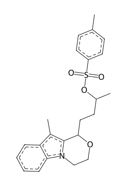 Cc1ccc(S(=O)(=O)OC(C)CCC2OCCn3c2c(C)c2ccccc23)cc1